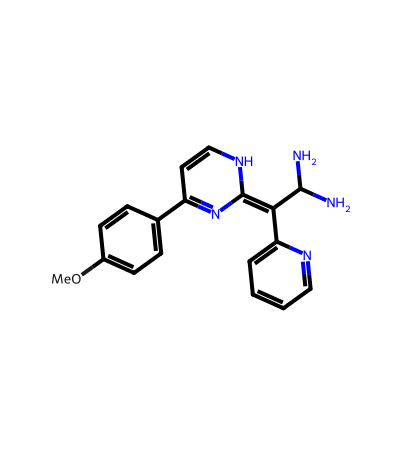 COc1ccc(C2=N/C(=C(\c3ccccn3)C(N)N)NC=C2)cc1